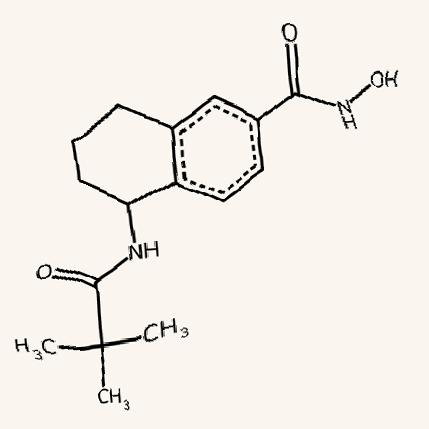 CC(C)(C)C(=O)NC1CCCc2cc(C(=O)NO)ccc21